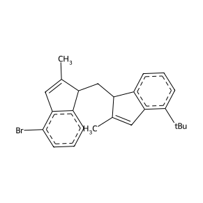 CC1=Cc2c(Br)cccc2C1CC1C(C)=Cc2c1cccc2C(C)(C)C